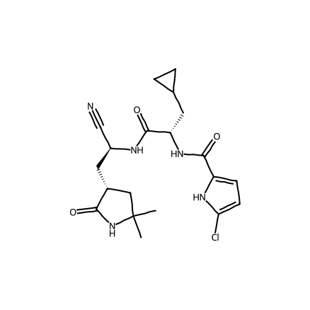 CC1(C)C[C@@H](C[C@@H](C#N)NC(=O)[C@H](CC2CC2)NC(=O)c2ccc(Cl)[nH]2)C(=O)N1